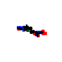 COc1nc(O[C@H]2CCc3c(-c4cccc(-c5cc(C)c(CNC[C@@H]6CCC(=O)N6)c(OC)n5)c4Cl)cccc32)c(C)cc1CNC(C)(C)C(=O)O